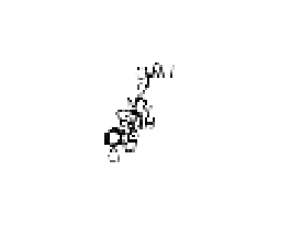 CNC(=O)CSc1cnc(NS(=O)(=O)c2cccc(Cl)c2Cl)c(OC)n1